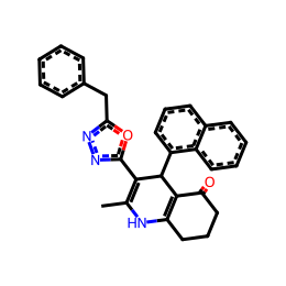 CC1=C(c2nnc(Cc3ccccc3)o2)C(c2cccc3ccccc23)C2=C(CCCC2=O)N1